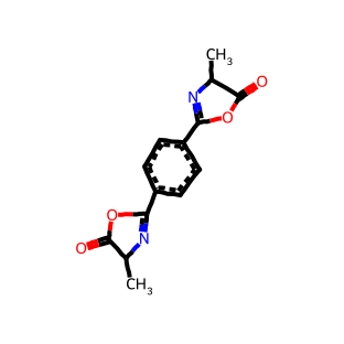 CC1N=C(c2ccc(C3=NC(C)C(=O)O3)cc2)OC1=O